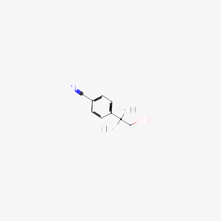 CC(C)(CO)c1ccc(C#N)cc1